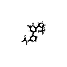 CC(=O)Nc1cc(-c2cc(-c3cscc3C(F)(F)F)[nH]c(=O)c2)ccn1